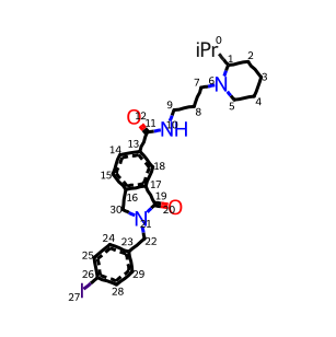 CC(C)C1CCCCN1CCCNC(=O)c1ccc2c(c1)C(=O)N(Cc1ccc(I)cc1)C2